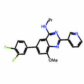 COc1cc(-c2ccc(F)c(F)c2)cc2c(NC(C)C)nc(-c3cccnc3)nc12